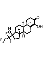 C[C@]12CCC(=O)C(O)=C1CC[C@@H]1[C@H]2CC[C@@]2(C)[C@H]1CCC2(O)C(F)(F)C(F)(F)F